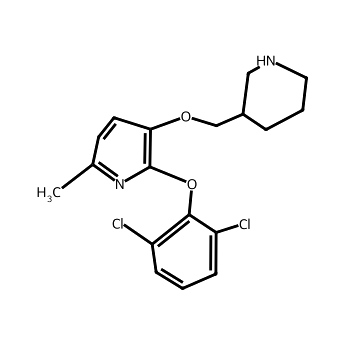 Cc1ccc(OCC2CCCNC2)c(Oc2c(Cl)cccc2Cl)n1